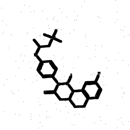 CC(C[N+](C)(C)C)Oc1ccc(N2C(=O)CC3CCc4ccc(F)cc4C3N2I)cc1